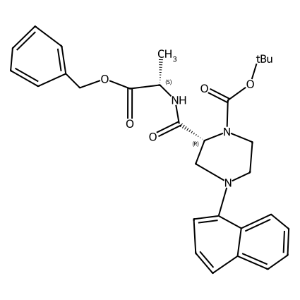 C[C@H](NC(=O)[C@H]1CN(c2cccc3ccccc23)CCN1C(=O)OC(C)(C)C)C(=O)OCc1ccccc1